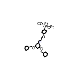 CCOC(=O)[C@H](Cc1ccc(OC/C=C/c2cc(OCc3ccccc3)cc(OCc3ccccc3)c2)cc1)OCC